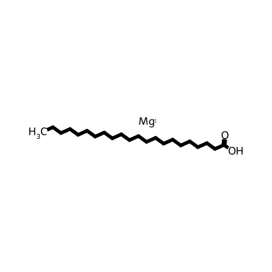 CCCCCCCCCCCCCCCCCCCCCC(=O)O.[Mg]